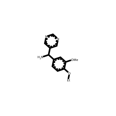 CCOc1ccc(C(N)c2cncnc2)cc1OC